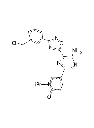 CC(C)n1cc(-c2cnc(N)c(-c3cc(-c4cccc(CCl)c4)no3)n2)ccc1=O